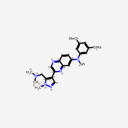 CCCN(c1cc(OC)cc(OC)c1)c1ccc2ncc(-c3cnn(C)c3CN(C)C)nc2c1